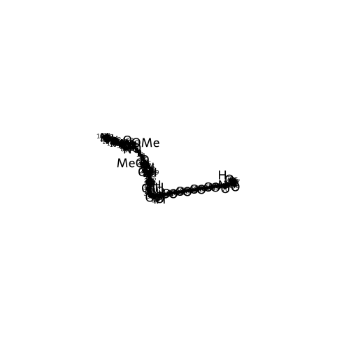 COc1cc2c(cc1OCCCCCOc1cc3c(cc1OC)C(=O)N1C=C(c4ccc(NC(=O)[C@H](C)NC(=O)C(NC(=O)CCOCCOCCOCCOCCOCCOCCOCCOCCNC(=O)CCN5C(=O)C=CC5=O)C(C)C)cc4)C[C@H]1C=N3)N=CC1CC(c3ccc(N4CCN(C)CC4)cc3)=CN1C2=O